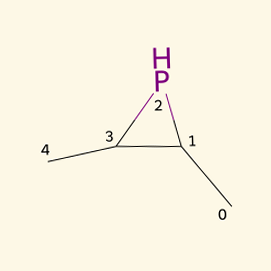 CC1PC1C